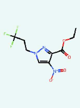 CCOC(=O)c1nn(CCC(F)(F)F)cc1[N+](=O)[O-]